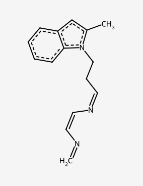 C=N/C=C\N=C/CCn1c(C)cc2ccccc21